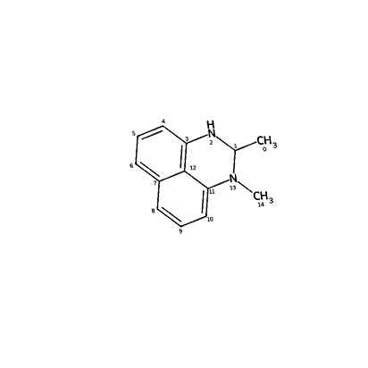 CC1Nc2cccc3cccc(c23)N1C